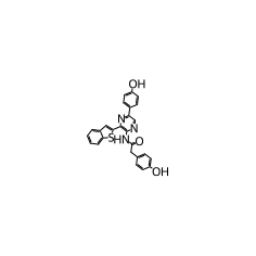 O=C(Cc1ccc(O)cc1)Nc1ncc(-c2ccc(O)cc2)nc1-c1cc2ccccc2s1